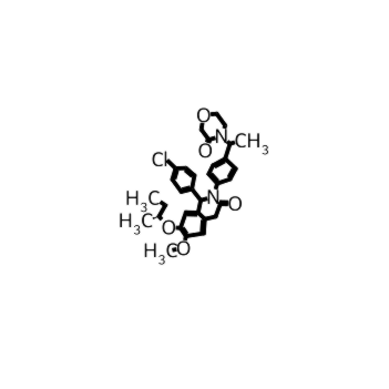 CC[C@@H](C)Oc1cc2c(cc1OC)CC(=O)N(c1ccc(C(C)N3CCOCC3=O)cc1)C2c1ccc(Cl)cc1